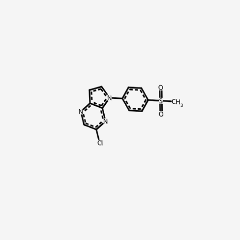 CS(=O)(=O)c1ccc(-n2ccc3ncc(Cl)nc32)cc1